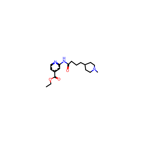 CCOC(=O)c1ccnc(NC(=O)CCCC2CCN(C)CC2)c1